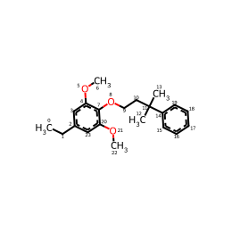 CCc1cc(OC)c(OCCC(C)(C)c2ccccc2)c(OC)c1